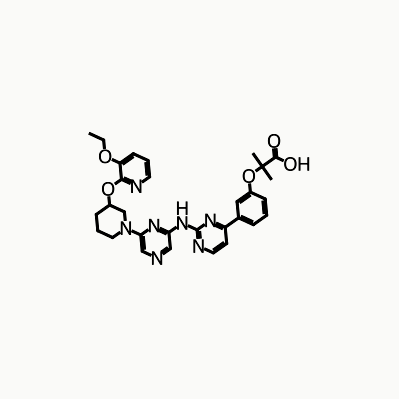 CCOc1cccnc1OC1CCCN(c2cncc(Nc3nccc(-c4cccc(OC(C)(C)C(=O)O)c4)n3)n2)C1